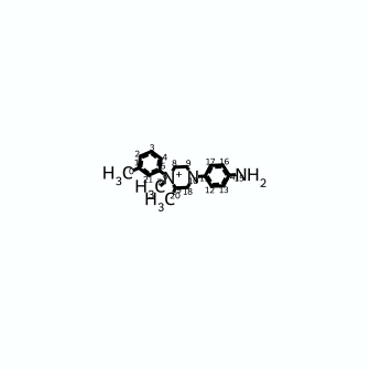 Cc1cccc([N+]2(C)CCN(c3ccc(N)cc3)CC2C)c1